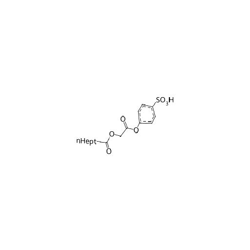 CCCCCCCC(=O)OCC(=O)Oc1ccc(S(=O)(=O)O)cc1